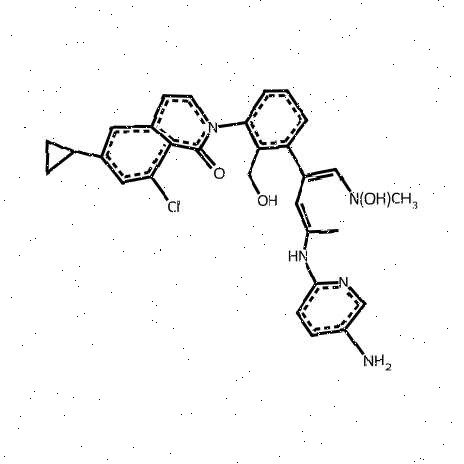 C/C(=C\C(=C/N(C)O)c1cccc(-n2ccc3cc(C4CC4)cc(Cl)c3c2=O)c1CO)Nc1ccc(N)cn1